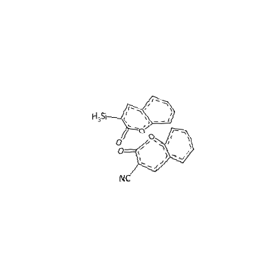 N#Cc1cc2ccccc2oc1=O.O=c1oc2ccccc2cc1[SiH3]